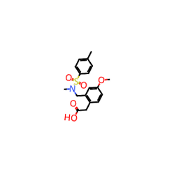 COc1ccc(CC(=O)O)c(CN(C)S(=O)(=O)c2ccc(C)cc2)c1